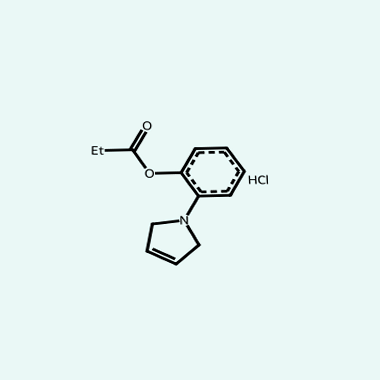 CCC(=O)Oc1ccccc1N1CC=CC1.Cl